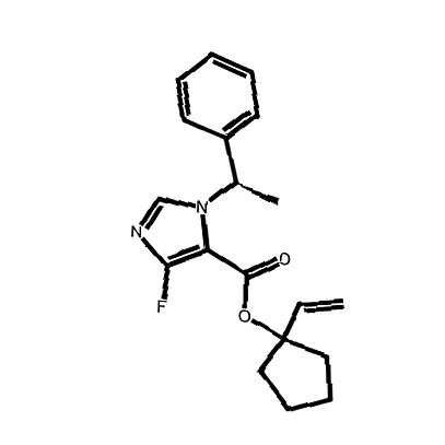 C=CC1(OC(=O)c2c(F)ncn2[C@H](C)c2ccccc2)CCCC1